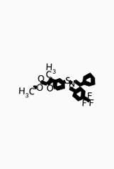 CCOC(=O)c1oc2ccc(SN(CCc3ccccc3)Cc3ccc(C(F)(F)F)cc3)cc2c1C